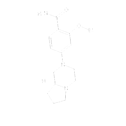 CCOc1cc(N2CCN3CCC[C@H]3C2)ccc1C(N)=O